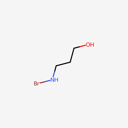 OCCCNBr